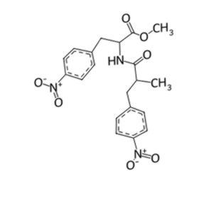 COC(=O)C(Cc1ccc([N+](=O)[O-])cc1)NC(=O)C(C)Cc1ccc([N+](=O)[O-])cc1